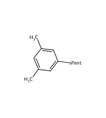 CCCCCc1cc(C)cc(C)c1